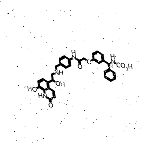 O=C(O)N[C@@H](c1ccccc1)c1cccc(OCC(=O)Nc2ccc(CNCC(O)c3ccc(O)c4[nH]c(=O)ccc34)cc2)c1